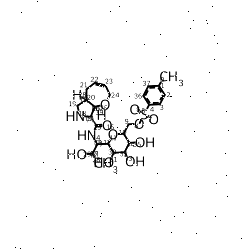 Cc1ccc(S(=O)(=O)OCC2OC([C@H](NC(=O)[C@H]3NC[C@@H]4CC=CCO[C@H]43)[C@@H](C)O)C(O)C(O)C2O)cc1